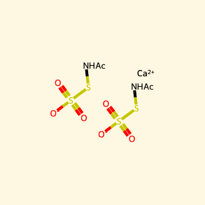 CC(=O)NSS(=O)(=O)[O-].CC(=O)NSS(=O)(=O)[O-].[Ca+2]